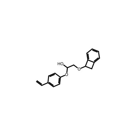 C=Cc1ccc(OC(O)COC2Cc3ccccc32)cc1